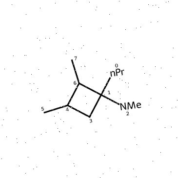 CCCC1(NC)CC(C)C1C